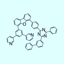 c1ccc(-c2cccc(-c3nc(-c4ccccc4)nc(-c4ccc(-c5cccc6c5oc5c(-c7cc(-c8cccnc8)cc(-c8cccnc8)c7)cccc56)cc4)n3)c2)cc1